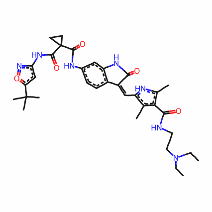 CCN(CC)CCNC(=O)c1c(C)[nH]c(/C=C2\C(=O)Nc3cc(NC(=O)C4(C(=O)Nc5cc(C(C)(C)C)on5)CC4)ccc32)c1C